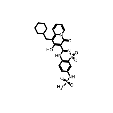 CS(=O)(=O)Nc1ccc2c(c1)S(=O)(=O)N=C(c1c(O)c(CC3CCCCC3)c3ccccn3c1=O)N2